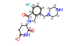 O=C1CCC(N2Cc3c(CN4CCNCC4)ccc(F)c3C2=O)C(=O)N1